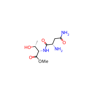 COC(=O)[C@@H](NC(=O)[C@@H](N)CC(N)=O)[C@@H](C)O